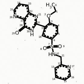 CCOc1ccc(S(=O)(=O)NCc2ccccn2)cc1-c1nc2cccnc2c(=O)[nH]1